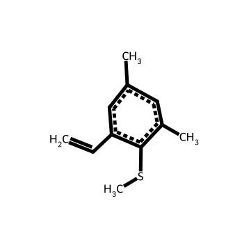 C=Cc1cc(C)cc(C)c1SC